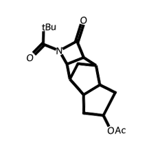 CC(=O)OC1CC2C(C1)C1CC2C2C(=O)N(C(=O)C(C)(C)C)C12